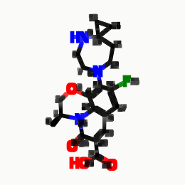 C[C@H]1COc2c(N3CCNC4(CC3)CC4)c(F)cc3cc(C(=O)O)c(=O)n1c23